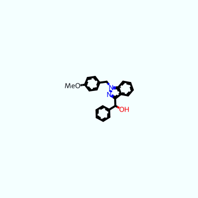 COc1ccc(Cn2nc(C(O)c3ccccc3)c3ccccc32)cc1